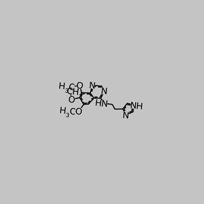 COc1cc2c(NCCc3c[nH]cn3)ncnc2c(OC)c1OC